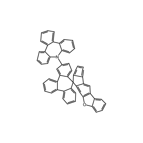 c1ccc2c(c1)-c1ccccc1N(c1ccc3c(c1)-c1ccccc1-c1ccccc1C31c3ccccc3-c3cc4c(cc31)oc1ccccc14)c1ccccc1-2